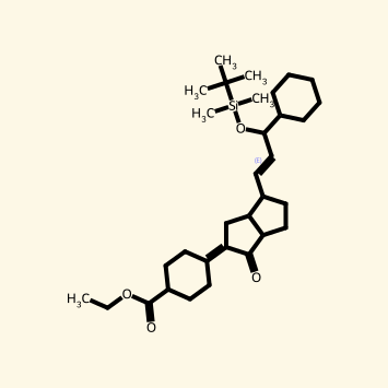 CCOC(=O)C1CCC(=C2CC3C(/C=C/C(O[Si](C)(C)C(C)(C)C)C4CCCCC4)CCC3C2=O)CC1